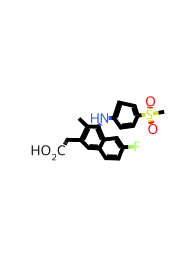 Cc1c(CC(=O)O)cc2ccc(F)cc2c1Nc1ccc(S(C)(=O)=O)cc1